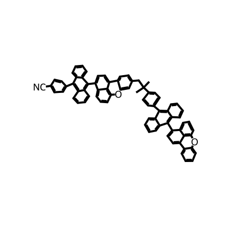 CC(C)(Cc1ccc2c(c1)Oc1cccc3c(-c4c5ccccc5c(-c5ccc(C#N)cc5)c5ccccc45)ccc-2c13)c1ccc(-c2c3ccccc3c(-c3ccc4c5c(cccc35)Oc3ccccc3-4)c3ccccc23)cc1